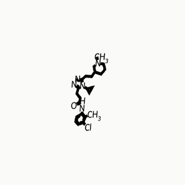 Cc1c(Cl)cccc1NC(=O)CCc1nnc(CCC2CCCN(C)C2)n1C1CC1